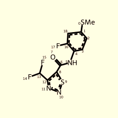 CSc1ccc(NC(=O)c2snnc2C(F)F)c(F)c1